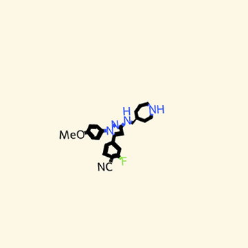 COc1ccc(-n2nc(NC[C@H]3CCCNCC3)cc2-c2ccc(C#N)c(F)c2)cc1